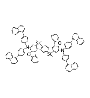 C[Si]1(C)c2cc3c(cc2-c2c1cc(N(c1ccc(-c4cccc5ccccc45)cc1)c1ccc(-c4cccc5ccccc45)cc1)c1oc4ccccc4c21)[Si](C)(C)c1cc(N(c2ccc(-c4cccc5ccccc45)cc2)c2ccc(-c4cccc5ccccc45)cc2)c2oc4ccccc4c2c1-3